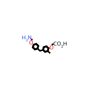 Cc1cc(Cc2ccc(OCN)cc2)ccc1OCC(=O)O